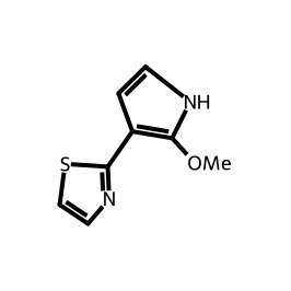 COc1[nH]ccc1-c1nccs1